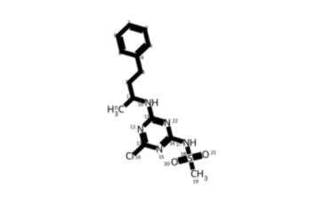 CC(CCc1ccccc1)Nc1nc(Cl)nc(NS(C)(=O)=O)n1